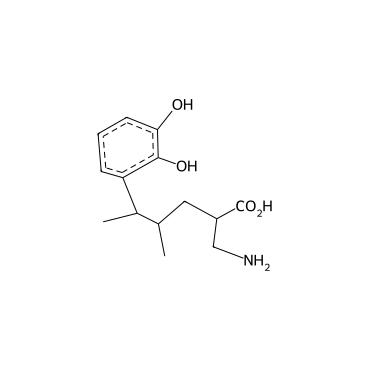 CC(CC(CN)C(=O)O)C(C)c1cccc(O)c1O